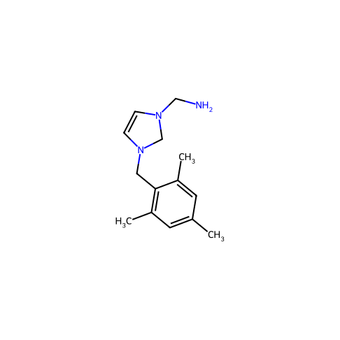 Cc1cc(C)c(CN2C=CN(CN)C2)c(C)c1